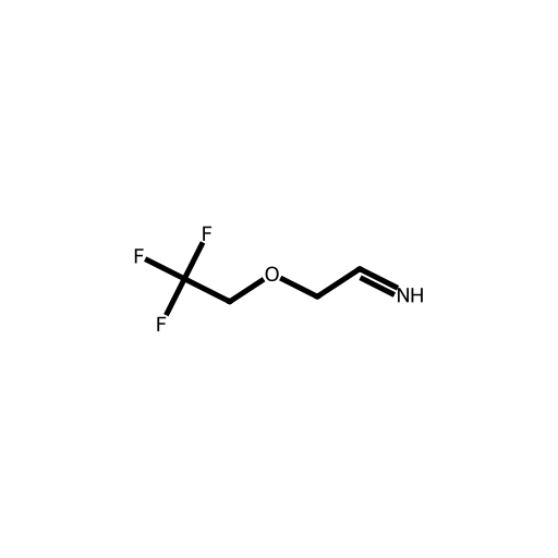 N=CCOCC(F)(F)F